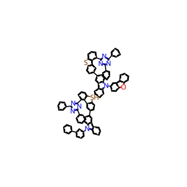 c1ccc(-c2cccc(-n3c4ccccc4c4cc(-c5ccc6c(c5)-c5c(-c7nc(-c8ccccc8)nc(-c8ccccc8)n7)cccc5[SH]6c5ccc6c(c5)c5cc(-c7ccc8sc9cccc(-c%10nc(-c%11ccccc%11)nc(-c%11ccccc%11)n%10)c9c8c7)ccc5n6-c5ccc6oc7ccccc7c6c5)ccc43)c2)cc1